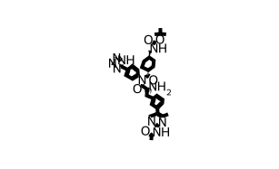 CC(=O)Nc1ncc(-c2cccc(C[C@H](N)C(=O)N(c3ccc(-c4nnn[nH]4)cc3)C(=O)[C@H]3CC[C@H](CNC(=O)OC(C)(C)C)CC3)c2)c(C)n1